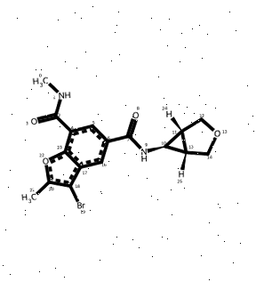 CNC(=O)c1cc(C(=O)N[C@H]2[C@@H]3COC[C@@H]32)cc2c(Br)c(C)oc12